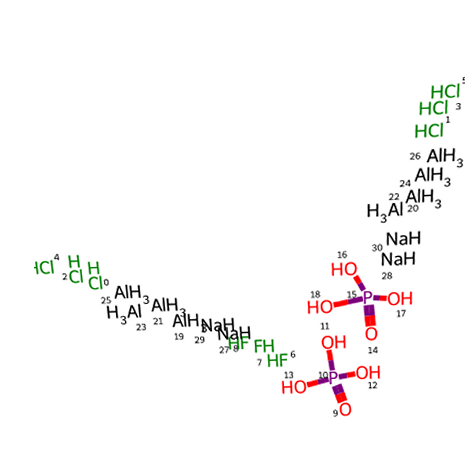 Cl.Cl.Cl.Cl.Cl.Cl.F.F.F.O=P(O)(O)O.O=P(O)(O)O.[AlH3].[AlH3].[AlH3].[AlH3].[AlH3].[AlH3].[AlH3].[AlH3].[NaH].[NaH].[NaH].[NaH]